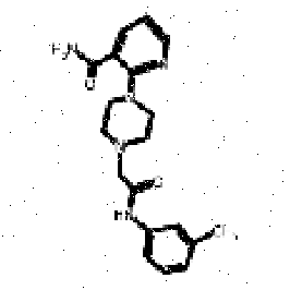 Cc1cccc(NC(=O)CN2CCN(c3ncccc3C(N)=O)CC2)c1